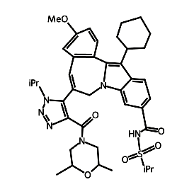 COc1ccc2c(c1)C=C(c1c(C(=O)N3CC(C)OC(C)C3)nnn1C(C)C)Cn1c-2c(C2CCCCC2)c2ccc(C(=O)NS(=O)(=O)C(C)C)cc21